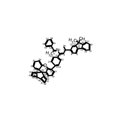 C/C(=N\C(=C/C(I)c1ccc2c(c1)C(C)(C)c1ccccc1-2)c1ccc(-c2cccc3c2Oc2ccccc2C32c3ccccc3-c3ccccc32)cc1)c1ccccc1